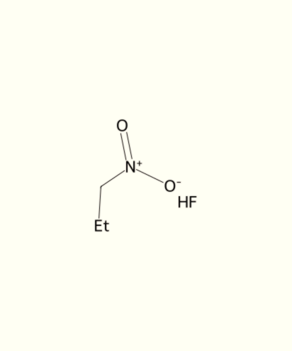 CCC[N+](=O)[O-].F